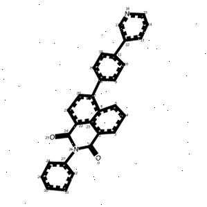 O=C1c2cccc3c(-c4ccc(-c5cccnc5)cc4)ccc(c23)C(=O)N1c1ccccc1